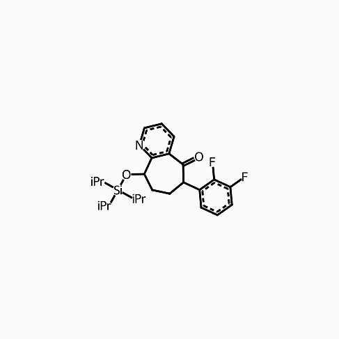 CC(C)[Si](OC1CCC(c2cccc(F)c2F)C(=O)c2cccnc21)(C(C)C)C(C)C